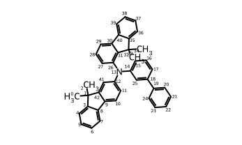 CC1(C)c2ccccc2-c2ccc(N(c3cccc(-c4ccccc4)c3)c3cccc4c3C(C)(C)c3ccccc3-4)cc21